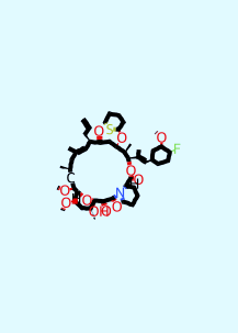 C=CC[C@@H]1/C=C(\C)C[C@H](C)C[C@H](OC)[C@H]2O[C@@](O)(C(=O)C(=O)N3CCCC[C@H]3C(=O)O[C@H](/C(C)=C/[C@@H]3CC[C@@H](F)[C@H](OC)C3)[C@H](C)[C@@H](O[C@@H]3CCCCS3)CC1=O)[C@H](C)C[C@@H]2OC